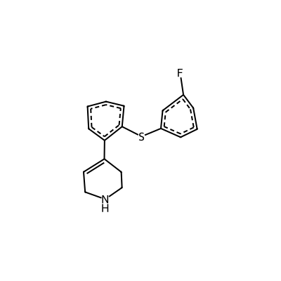 Fc1cccc(Sc2ccccc2C2=CCNCC2)c1